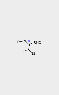 CC/C=C(/C=O)C(C)CC